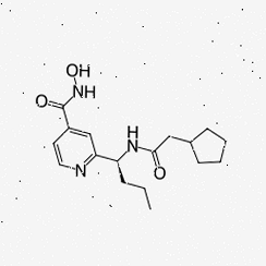 CCC[C@H](NC(=O)CC1CCCC1)c1cc(C(=O)NO)ccn1